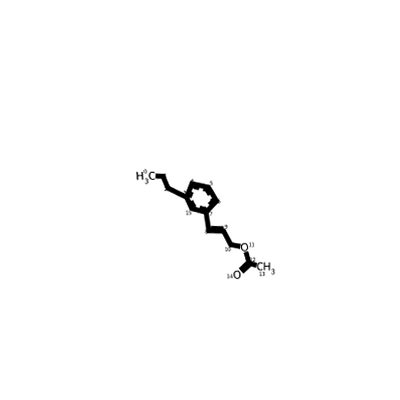 CCCc1cccc(/C=C/COC(C)=O)c1